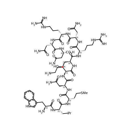 CSCC[C@H](NC(=O)[C@H](CC(C)C)NC(=O)[C@@H](N)Cc1c[nH]c2ccccc12)C(=O)N[C@@H](CC(N)=O)C(=O)N[C@H](C(=O)N[C@@H](CCCCN)C(=O)N[C@@H](CCCNC(=N)N)C(=O)N[C@@H](CC(N)=O)C(=O)N[C@@H](CCCNC(=N)N)C(=O)N[C@@H](CC(N)=O)C(=O)N[C@@H](CC(N)=O)C(=O)O)[C@@H](C)O